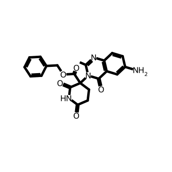 Cc1nc2ccc(N)cc2c(=O)n1C1(C(=O)OCc2ccccc2)CCC(=O)NC1=O